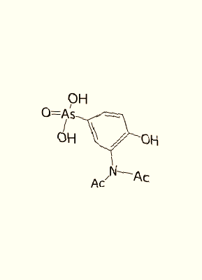 CC(=O)N(C(C)=O)c1cc([As](=O)(O)O)ccc1O